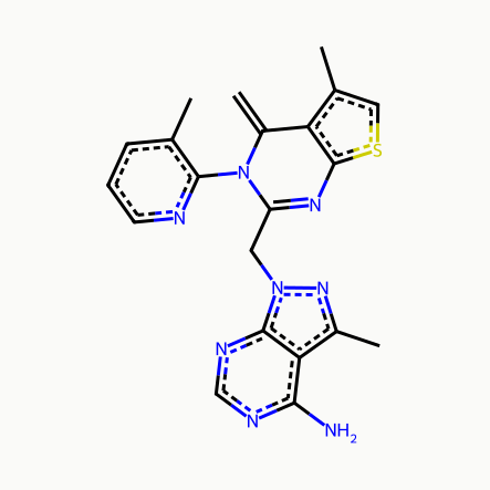 C=C1c2c(C)csc2N=C(Cn2nc(C)c3c(N)ncnc32)N1c1ncccc1C